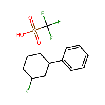 ClC1CCCC(c2ccccc2)C1.O=S(=O)(O)C(F)(F)F